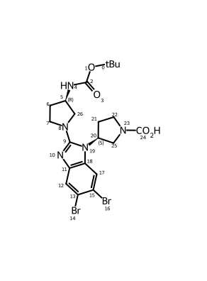 CC(C)(C)OC(=O)N[C@@H]1CCN(c2nc3cc(Br)c(Br)cc3n2[C@H]2CCN(C(=O)O)C2)C1